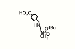 CN(CCNCc1ccc(C(=O)O)cc1)C(=O)OC(C)(C)C